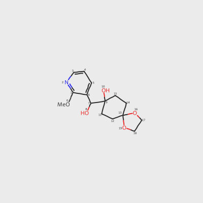 COc1ncccc1C(O)C1(O)CCC2(CC1)OCCO2